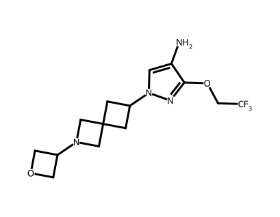 Nc1cn(C2CC3(C2)CN(C2COC2)C3)nc1OCC(F)(F)F